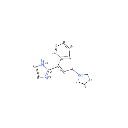 C(/CN1CCCC1)=C(/c1ccccc1)c1ncc[nH]1